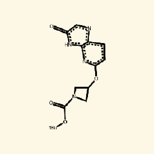 CC(C)(C)OC(=O)N1CC(Oc2ccc3ncc(=O)[nH]c3n2)C1